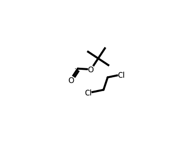 CC(C)(C)O[C]=O.ClCCCl